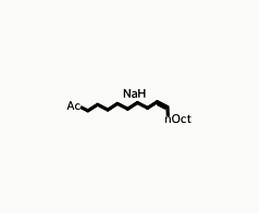 [CH2]C(=O)CCCCCCC/C=C\CCCCCCCC.[NaH]